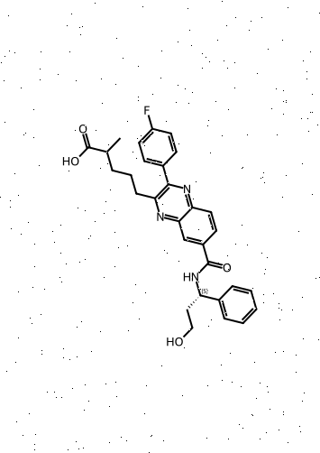 CC(CCCc1nc2cc(C(=O)N[C@@H](CCO)c3ccccc3)ccc2nc1-c1ccc(F)cc1)C(=O)O